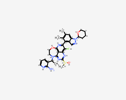 Cc1cc2c(cnn2C2CCCCO2)c(-c2nc3c4c(nc([S+](C)[O-])nc4c2F)N(C(C)c2cccnc2N)CCO3)c1C